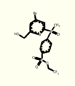 CP(=O)(c1ccc(S(=O)(=O)OCC(F)(F)F)cc1)c1cc(Br)cc(CO)n1